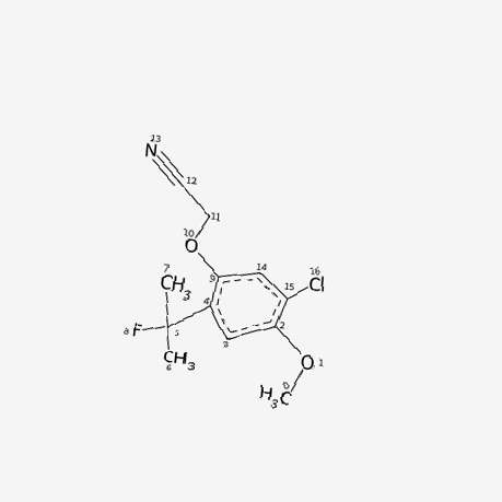 COc1cc(C(C)(C)F)c(OCC#N)cc1Cl